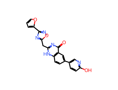 O=c1nc(Cc2nc(-c3ccco3)no2)[nH]c2ccc(-c3ccc(O)nc3)cc12